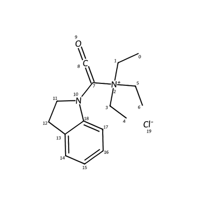 CC[N+](CC)(CC)C(=C=O)N1CCc2ccccc21.[Cl-]